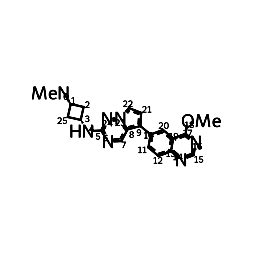 CN[C@H]1C[C@H](Nc2ncc3c(-c4ccc5ncnc(OC)c5c4)ccn3n2)C1